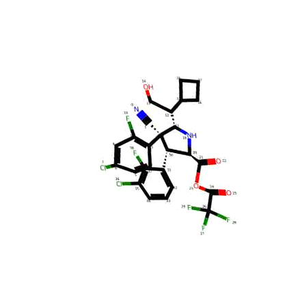 N#C[C@]1(c2ccc(Cl)cc2F)[C@H](C(CO)C2CCC2)N[C@@H](C(=O)OC(=O)C(F)(F)F)[C@@H]1c1cccc(Cl)c1F